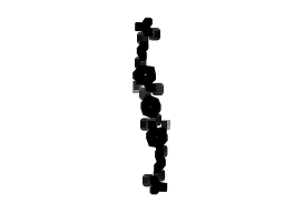 C=C(C)C(=O)OCCCOc1ccc(C(=O)Oc2ccc(OC(=O)c3ccc(OCCCOC(=O)C(=C)C)cc3F)cc2)c(F)c1